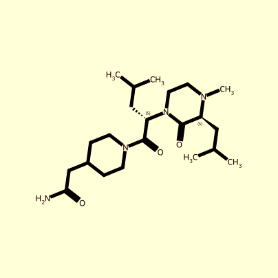 CC(C)C[C@H]1C(=O)N([C@@H](CC(C)C)C(=O)N2CCC(CC(N)=O)CC2)CCN1C